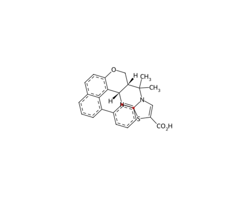 CC1(C)[C@H]2COc3ccc4cccc(-c5ccccc5)c4c3[C@H]2N=C2SC(C(=O)O)=CN21